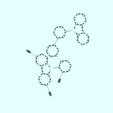 N#Cc1ccc2c(c1)c1ccc(C#N)cc1n2-c1c(C#N)cccc1-c1cccc(-c2cccc(-n3c4ccccc4c4ccccc43)c2)c1